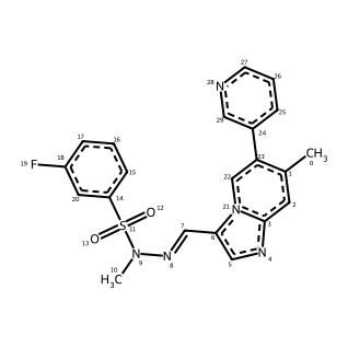 Cc1cc2ncc(C=NN(C)S(=O)(=O)c3cccc(F)c3)n2cc1-c1cccnc1